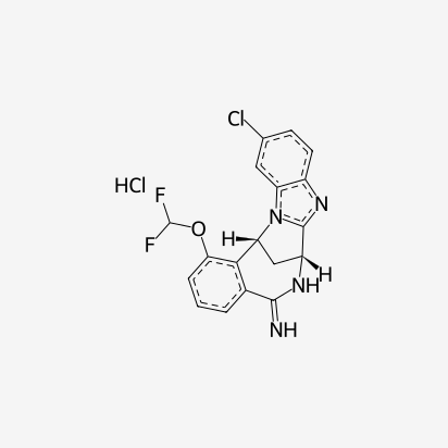 Cl.N=C1N[C@@H]2C[C@H](c3c(OC(F)F)cccc31)n1c2nc2ccc(Cl)cc21